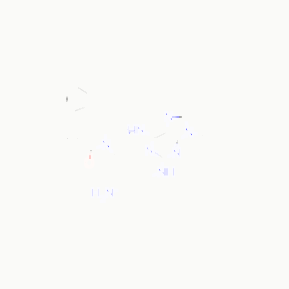 NC1CCC(Nc2nc(NC3CCN(C(=O)C4CC4c4ccccc4)CC3)c3ncn(C4CCCC4)c3n2)CC1